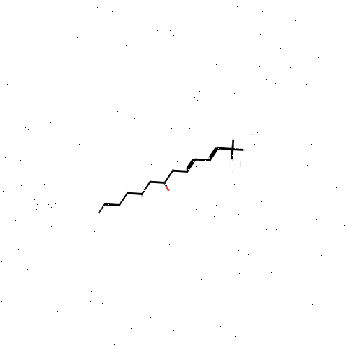 CC(C)(C)CCCCCC(O)CC=CC=CC(C)(C)C(=O)O